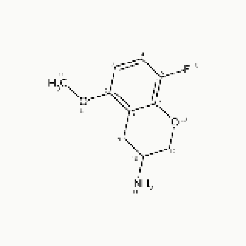 COc1ccc(F)c2c1CC(N)CO2